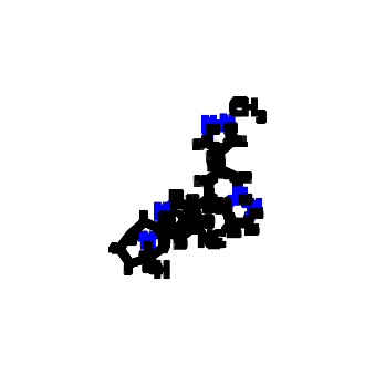 CO[C@H]1CC2CC[C@@H](C1)N2c1ccc(-c2cc(-c3cnn(C)c3)cn3ncc(C#N)c23)cn1